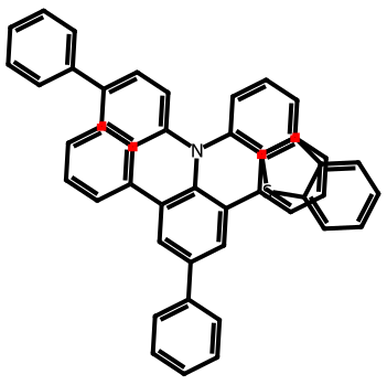 c1ccc(-c2ccc(N(c3c(-c4ccccc4)cc(-c4ccccc4)cc3-c3ccccc3)c3cccc4c3sc3ccccc34)cc2)cc1